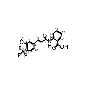 COc1cc(/C=C/C(=O)Nc2ccccc2C(=O)O)ccc1C(F)(F)F